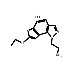 CCOc1cc2c(ccc3cnn(CCN)c32)s1.Cl